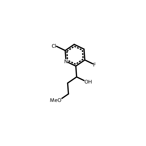 COCCC(O)c1nc(Cl)ccc1F